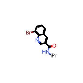 CC(C)NC(=O)c1cnc2c(Br)cccc2c1